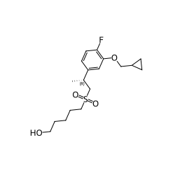 C[C@@H](CS(=O)(=O)CCCCCO)c1ccc(F)c(OCC2CC2)c1